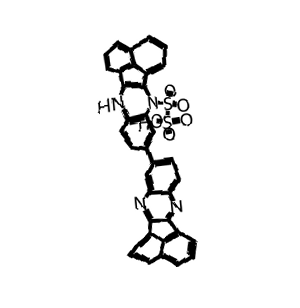 O=S(=O)(O)S(=O)(=O)N1C2=C(Nc3ccc(-c4ccc5nc6c(nc5c4)-c4cccc5cccc-6c45)cc31)c1cccc3cccc2c13